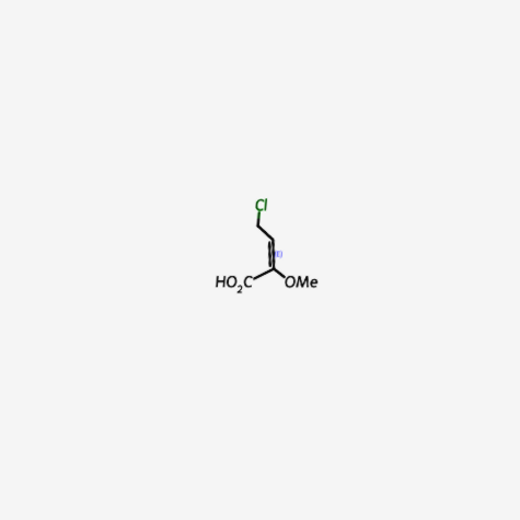 CO/C(=C/CCl)C(=O)O